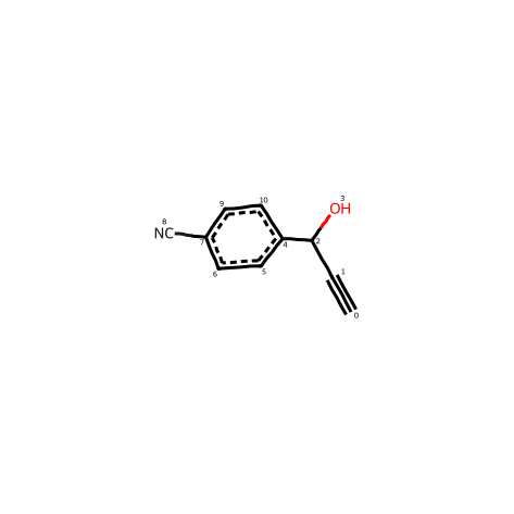 C#CC(O)c1ccc(C#N)cc1